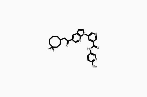 CC(C)(C)c1ccc(NC(=O)c2cncc(-n3ccc4cc(C(=O)CC5CCCCC(F)(F)CC5)cnc43)c2)cn1